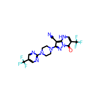 N#Cc1c(N2CCN(c3ncc(C(F)(F)F)cn3)CC2)nn2c(=O)c(C(F)(F)F)c[nH]c12